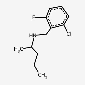 CCCC(C)NCc1c(F)cccc1Cl